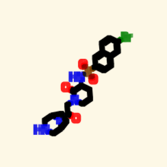 O=C1[C@@H](NS(=O)(=O)c2ccc3cc(Br)ccc3c2)CCCN1CC(=O)N1C2CCC1CNC2